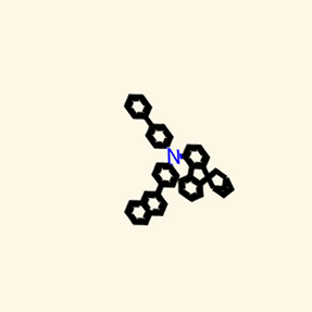 c1ccc(-c2ccc(N(c3ccc(-c4ccc5ccccc5c4)cc3)c3cccc4c3-c3ccccc3C43CC4CCC3C4)cc2)cc1